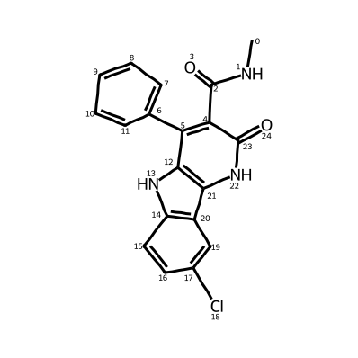 CNC(=O)c1c(-c2ccccc2)c2[nH]c3ccc(Cl)cc3c2[nH]c1=O